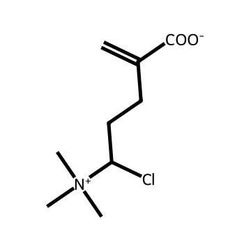 C=C(CCC(Cl)[N+](C)(C)C)C(=O)[O-]